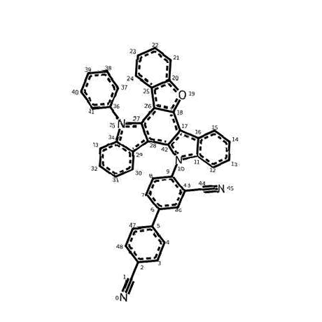 N#Cc1ccc(-c2ccc(-n3c4ccccc4c4c5oc6ccccc6c5c5c(c6ccccc6n5-c5ccccc5)c43)c(C#N)c2)cc1